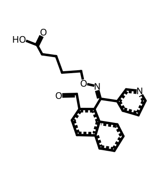 O=Cc1ccc2ccccc2c1/C(=N\OCCCCC(=O)O)c1cccnc1